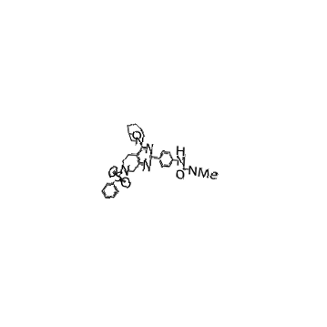 CNC(=O)Nc1ccc(-c2nc3c(c(N4CC5CCC(C4)O5)n2)CCN(S(=O)(=O)c2ccccc2)C3)cc1